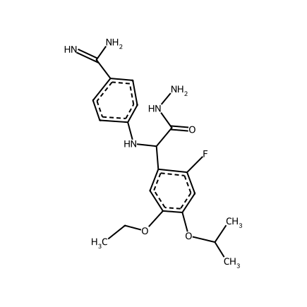 CCOc1cc(C(Nc2ccc(C(=N)N)cc2)C(=O)NN)c(F)cc1OC(C)C